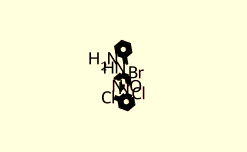 Nc1ccccc1CNc1cnn(-c2c(Cl)cccc2Cl)c(=O)c1Br